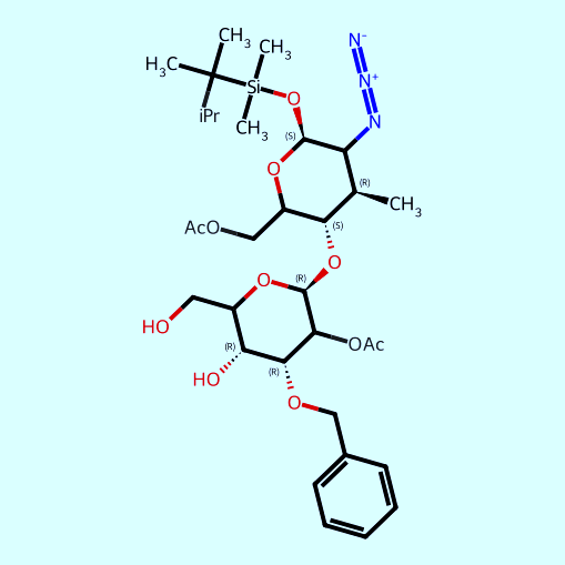 CC(=O)OCC1O[C@@H](O[Si](C)(C)C(C)(C)C(C)C)C(N=[N+]=[N-])[C@@H](C)[C@@H]1O[C@@H]1OC(CO)[C@@H](O)[C@@H](OCc2ccccc2)C1OC(C)=O